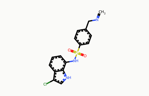 C=NCc1ccc(S(=O)(=O)Nc2cccc3c(Cl)c[nH]c23)cc1